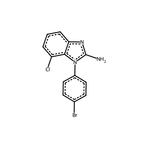 Nc1nc2cccc(Cl)c2n1-c1ccc(Br)cc1